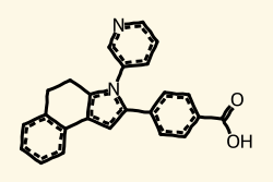 O=C(O)c1ccc(-c2cc3c(n2-c2cccnc2)CCc2ccccc2-3)cc1